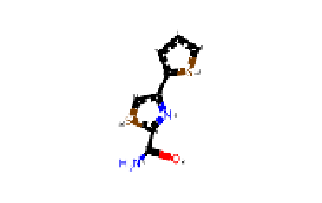 NC(=O)c1nc(-c2cccs2)cs1